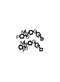 Cc1nc2cc(F)ccc2c(=O)n1-c1ccc(OC2CCN(C3CCC3)CC2)cc1.Cc1nc2cccc(F)c2c(=O)n1-c1ccc(OC2CCN(C3CCC3)CC2)cc1